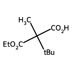 CCOC(=O)C(C)(C(=O)O)C(C)(C)C